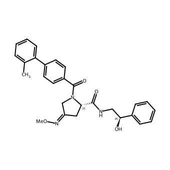 CON=C1C[C@@H](C(=O)NC[C@H](O)c2ccccc2)N(C(=O)c2ccc(-c3ccccc3C)cc2)C1